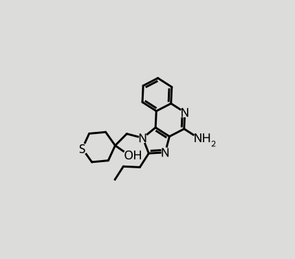 CCCc1nc2c(N)nc3ccccc3c2n1CC1(O)CCSCC1